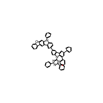 c1ccc(-c2cc(-c3ccccc3)c3c(c2)c2cc(-c4ccc5c(c4)c4cc6c(cc4n5-c4ccccc4)oc4ccccc46)ccc2n3-c2nc(-c3ccccc3)nc(-c3ccccc3)n2)cc1